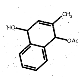 CC(=O)OC1C(C)=CC(O)c2ccccc21